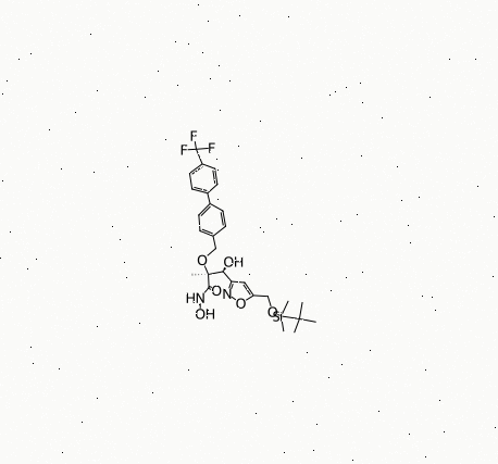 CC(C)(C)[Si](C)(C)OCc1cc([C@H](O)[C@](C)(OCc2ccc(-c3ccc(C(F)(F)F)cc3)cc2)C(=O)NO)no1